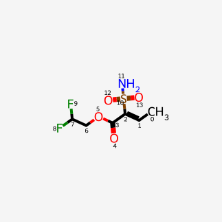 CC=C(C(=O)OCC(F)F)S(N)(=O)=O